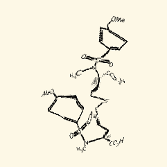 COc1ccc(S(=O)(=O)N(C)[C@@H](CSSC[C@@H](C(=O)O)N(C)S(=O)(=O)c2ccc(OC)cc2)C(=O)O)cc1